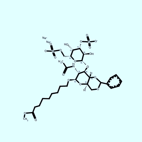 COC(=O)CCCCCCCCO[C@@H]1O[C@@H]2COC(c3ccccc3)O[C@H]2[C@H](O[C@@H]2O[C@H](COS(=O)(=O)[O-])[C@H](O)[C@H](OS(=O)(=O)[O-])[C@H]2O)[C@H]1NC(C)=O.[Na+].[Na+]